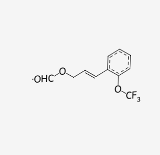 O=[C]OC/C=C/c1ccccc1OC(F)(F)F